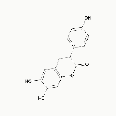 O=C1Oc2cc(O)c(O)cc2CC1c1ccc(O)cc1